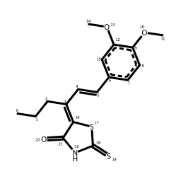 CCCC(C=Cc1ccc(OC)c(OC)c1)=C1SC(=S)NC1=O